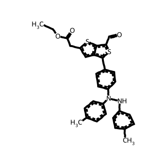 CCOC(=O)Cc1cc2c(-c3ccc(N(Nc4ccc(C)cc4)c4ccc(C)cc4)cc3)sc(C=O)c2s1